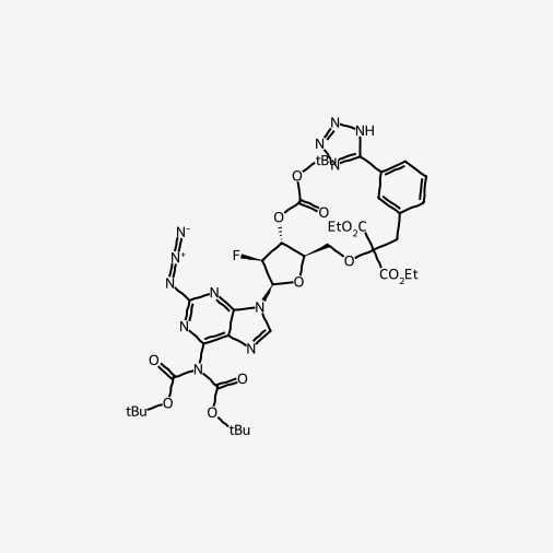 CCOC(=O)C(Cc1cccc(-c2nnn[nH]2)c1)(OC[C@H]1O[C@@H](n2cnc3c(N(C(=O)OC(C)(C)C)C(=O)OC(C)(C)C)nc(N=[N+]=[N-])nc32)[C@@H](F)[C@@H]1OC(=O)OC(C)(C)C)C(=O)OCC